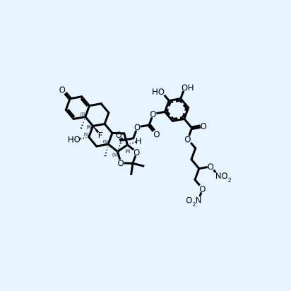 CC1(C)O[C@@H]2CC3C4CCC5=CC(=O)C=C[C@]5(C)[C@@]4(F)[C@@H](O)C[C@]3(C)[C@]2(C(=O)COC(=O)Oc2cc(C(=O)OCCC(CO[N+](=O)[O-])O[N+](=O)[O-])cc(O)c2O)O1